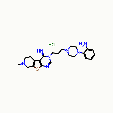 CN1CCc2c(sc3ncn(CCCN4CCN(c5ccccc5N)CC4)c(=N)c23)C1.Cl